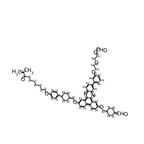 C=C(C)C(=O)CCCCCCCOc1ccc(C2CCC(COc3ccc4c5ccc(OCC6CCC(C=O)CC6)cc5c5nc6cc(-c7cccc(OCCOCCOC=O)c7)ccc6nc5c4c3)CC2)cc1